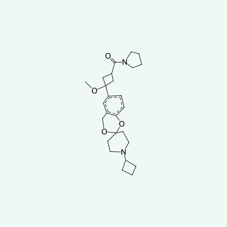 COC1(c2ccc3c(c2)COC2(CCN(C4CCC4)CC2)O3)CC(C(=O)N2CCCC2)C1